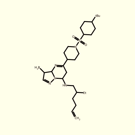 BC1C=NN2C(NCC(CC)CCC=C)CC(C3CCN(S(=O)(=O)C4CCC(C(C)(C)C)CC4)CC3)=NC12